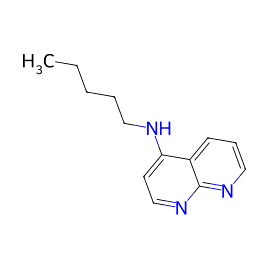 CCCCCNc1ccnc2ncccc12